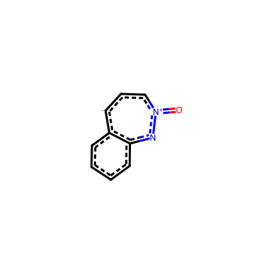 O=[n+]1cc[c]c2ccccc2n1